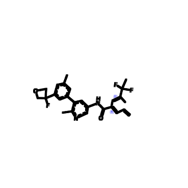 C=C/C=C(\C=C(/C)C(C)(F)F)C(=O)Nc1cnc(C)c(-c2cc(C)cc(C3(F)COC3)c2)c1